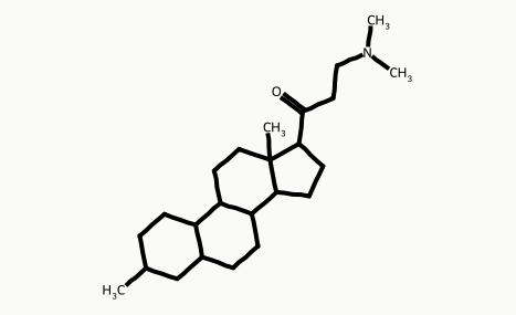 CC1CCC2C(CCC3C2CCC2(C)C(C(=O)CCN(C)C)CCC32)C1